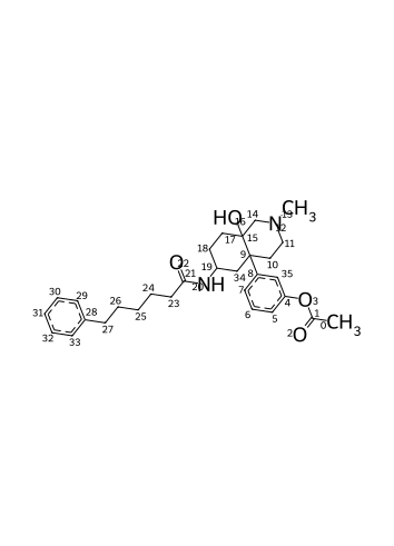 CC(=O)Oc1cccc(C23CCN(C)CC2(O)CCC(NC(=O)CCCCCc2ccccc2)C3)c1